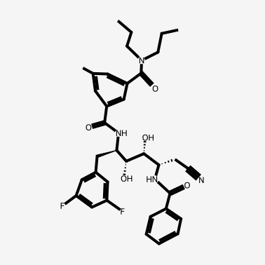 CCCN(CCC)C(=O)c1cc(C)cc(C(=O)N[C@H](Cc2cc(F)cc(F)c2)[C@@H](O)[C@H](O)[C@H](CC#N)NC(=O)c2ccccc2)c1